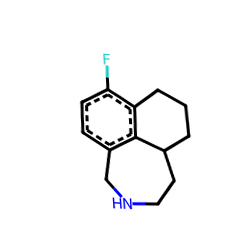 Fc1ccc2c3c1CCCC3CCNC2